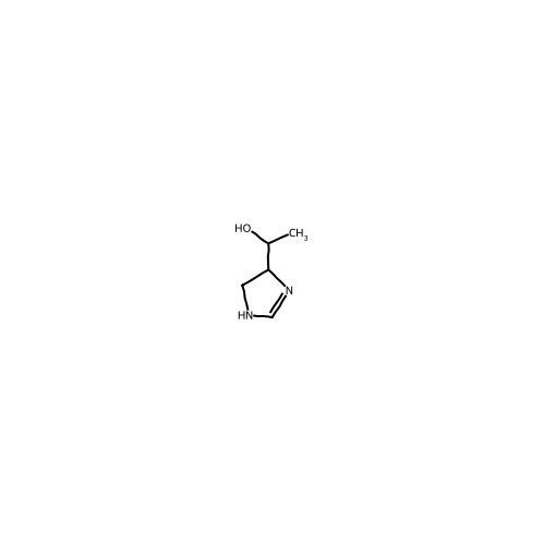 CC(O)C1CNC=N1